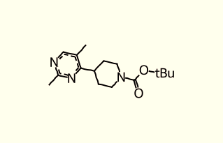 Cc1ncc(C)c(C2CCN(C(=O)OC(C)(C)C)CC2)n1